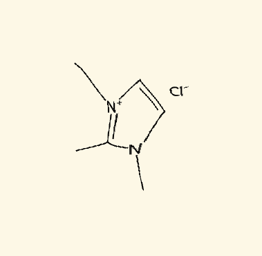 Cc1n(C)cc[n+]1C.[Cl-]